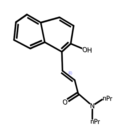 CCCN(CCC)C(=O)/C=C/c1c(O)ccc2ccccc12